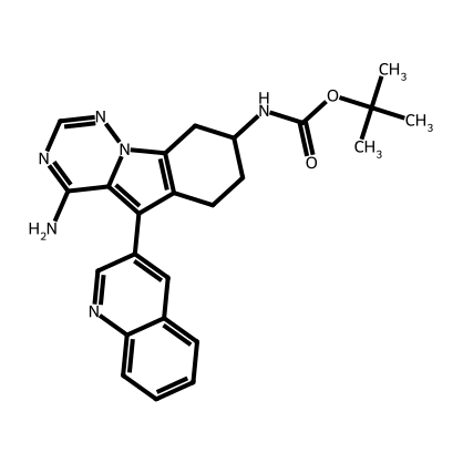 CC(C)(C)OC(=O)NC1CCc2c(-c3cnc4ccccc4c3)c3c(N)ncnn3c2C1